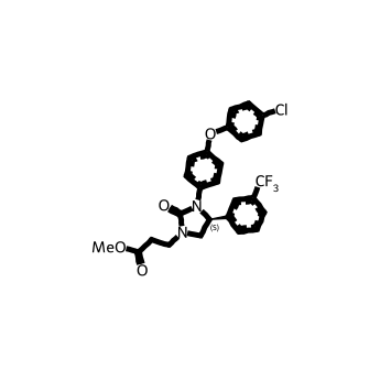 COC(=O)CCN1C[C@H](c2cccc(C(F)(F)F)c2)N(c2ccc(Oc3ccc(Cl)cc3)cc2)C1=O